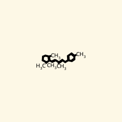 CC1=C(/C=C/C(C)=C/Cc2ccc(C)cc2)C(C)(C)CCC1